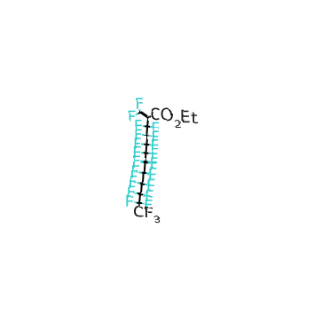 CCOC(=O)C(=C(F)F)C(F)(F)C(F)(F)C(F)(F)C(F)(F)C(F)(F)C(F)(F)C(F)(F)C(F)(F)C(F)(F)C(F)(F)F